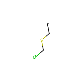 [CH2]CSCCl